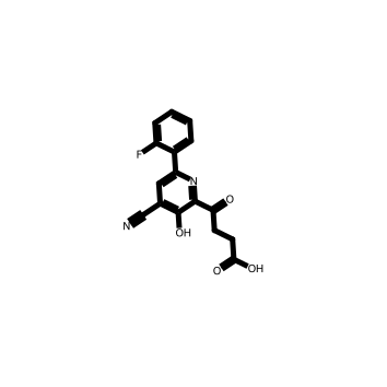 N#Cc1cc(-c2ccccc2F)nc(C(=O)CCC(=O)O)c1O